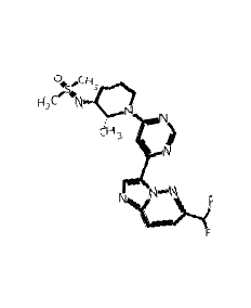 C[C@@H]1[C@@H](N=S(C)(C)=O)CCCN1c1cc(-c2cnc3ccc(C(F)F)nn23)ncn1